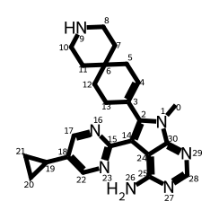 Cn1c(C2=CCC3(CCNCC3)CC2)c(-c2ncc(C3CC3)cn2)c2c(N)ncnc21